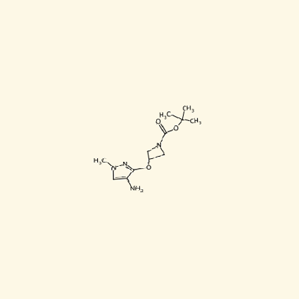 Cn1cc(N)c(OC2CN(C(=O)OC(C)(C)C)C2)n1